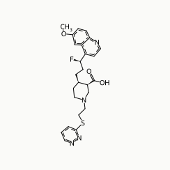 COc1ccc2nccc([C@H](F)CC[C@@H]3CCN(CCSc4cccnn4)C[C@@H]3C(=O)O)c2c1